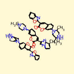 CC1CN(c2ccc3cc(-c4nc5ccccc5o4)c(=O)oc3c2)C(C)CN1.Cc1cccn2cc(-c3cc4ccc(N5CCN(C)CC5)cc4oc3=O)nc12.O=c1oc2cc(N3CC4CC3CN4)ccc2cc1-c1nc2ccccc2o1